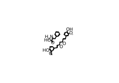 COc1cc(C=CC(=O)CC(=O)C=Cc2ccc(O)c(OC)c2)ccc1O.N[C@@H](Cc1ccccc1)C(=O)O